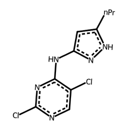 CCCc1cc(Nc2nc(Cl)ncc2Cl)n[nH]1